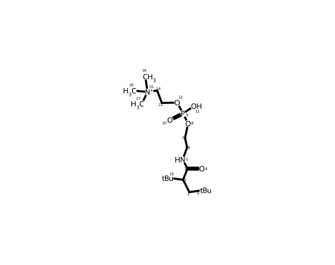 CC(C)(C)CC(C(=O)NCCOP(=O)(O)OCC[N+](C)(C)C)C(C)(C)C